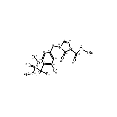 CCOP(=O)(OCC)C(F)(F)c1ccc(Cn2ccn(C(=O)OC(C)(C)C)c2=O)cc1Br